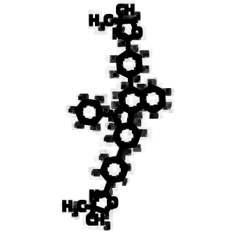 CC1(C)COC(c2ccc(-c3ccc4c5c6ccccc6c(-c6ccc(C7=NC(C)(C)CO7)cc6)cc5n(-c5ccccc5)c4c3)cc2)=N1